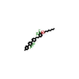 CCCCCCCCOc1ccc(CCC2CCC(c3ccc(-c4ccc(C)cc4)c(F)c3F)CC2)c(F)c1F